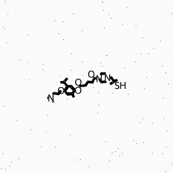 Cc1cc(OCCN(C)C)c(C(C)C)cc1OC(=O)CCCC(=O)N1CCN(CC(C)(C)S)CC1